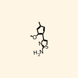 COc1cc(C)ccc1-c1csc(N)n1